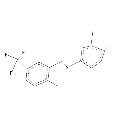 Cc1ccc(SCc2cc(C(F)(F)F)ccc2C)cc1C